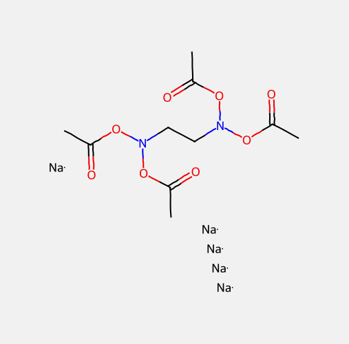 CC(=O)ON(CCN(OC(C)=O)OC(C)=O)OC(C)=O.[Na].[Na].[Na].[Na].[Na]